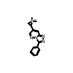 C[N+]1(C)CC1c1cnn2c(-c3ccccc3)nnc2c1